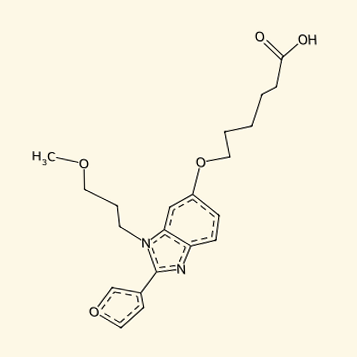 COCCCn1c(-c2ccoc2)nc2ccc(OCCCCCC(=O)O)cc21